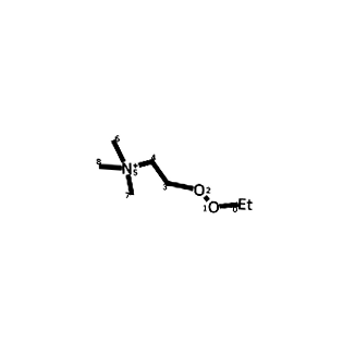 CCOOCC[N+](C)(C)C